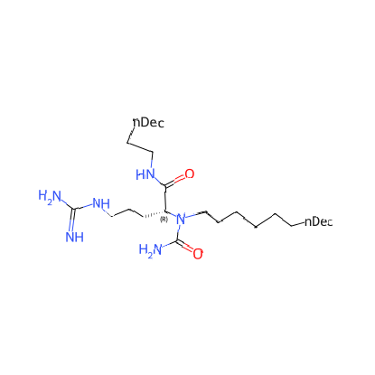 CCCCCCCCCCCCCCCCN(C(N)=O)[C@H](CCCNC(=N)N)C(=O)NCCCCCCCCCCCC